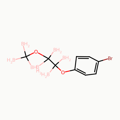 BC(B)(B)OC(B)(B)C(B)(B)Oc1ccc(Br)cc1